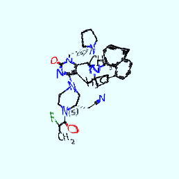 C=C(F)C(=O)N1CCN(c2nc(=O)n(C[C@@H]3CCCN3C)c3c2CC2(CCC2)N(c2cccc4cccc(C)c24)C3)C[C@@H]1CC#N